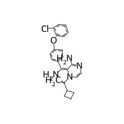 C=C(C1CCC1)N1C=CN=C(N)/C1=C(/N)c1ccc(Oc2ccccc2Cl)cc1